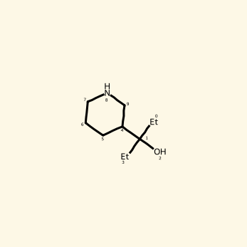 CCC(O)(CC)C1CCCNC1